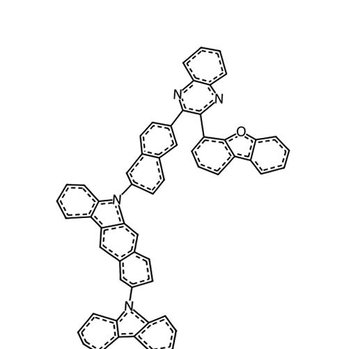 c1ccc2nc(-c3cccc4c3oc3ccccc34)c(-c3ccc4cc(-n5c6ccccc6c6cc7cc(-n8c9ccccc9c9ccccc98)ccc7cc65)ccc4c3)nc2c1